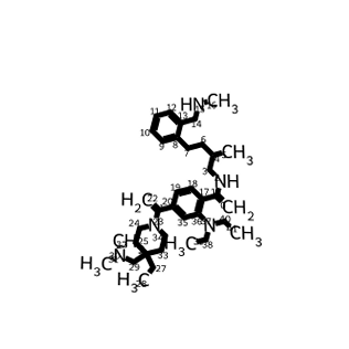 C=C(NCC(C)CCc1ccccc1CNC)c1ccc(C(=C)N2CCC(CC)(CN(C)C)CC2)cc1N(CC)CC